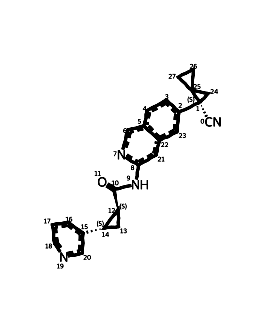 N#C[C@@]1(c2ccc3cnc(NC(=O)[C@H]4C[C@@H]4c4cccnc4)cc3c2)CC12CC2